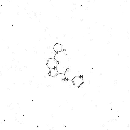 C[C@H]1CCCN1c1ccc2ncc(C(=O)Nc3cccnc3)n2n1